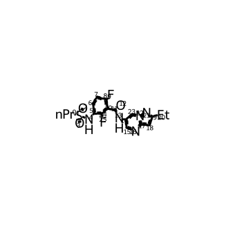 CCCS(=O)(=O)Nc1ccc(F)c(C(=O)Nc2cnc3cc(CC)nn3c2)c1F